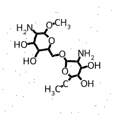 CCC1OC(OCC2OC(OC)C(N)C(O)C2O)C(N)C(O)C1O